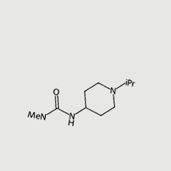 CNC(=O)NC1CCN(C(C)C)CC1